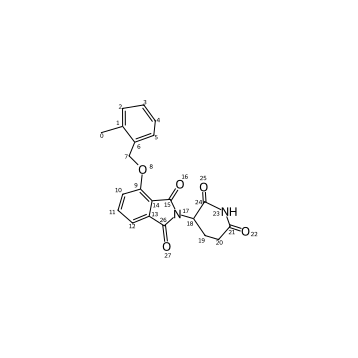 Cc1ccccc1COc1cccc2c1C(=O)N(C1CCC(=O)NC1=O)C2=O